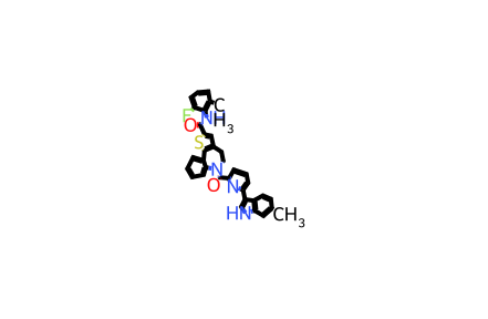 Cc1ccc2c(-c3cccc(C(=O)N4CCc5cc(C(=O)Nc6c(C)cccc6F)sc5-c5ccccc54)n3)c[nH]c2c1